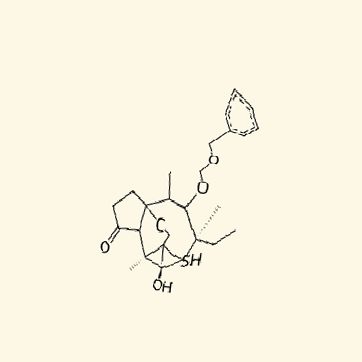 CC[C@@]1(C)C[C@@H](O)[C@@]2(C)C3C(=O)CCC3(CCC2(C)S)C(C)C1OCOCc1ccccc1